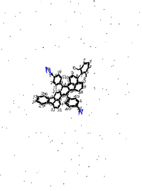 Cc1cccc(C)c1-c1ccc2c3c(-c4ccc(C#N)cc4)c4cc5c6ccccc6c6cccc(c4c(-c4ccc(C#N)cc4)c3c3cccc1c23)c65